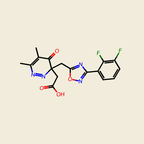 CC1=C(C)C(=O)C(CC(=O)O)(Cc2nc(-c3cccc(F)c3F)no2)N=N1